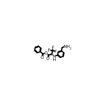 NCc1cccc(N[C@H](C(=O)OC(=O)c2ccccc2)C(F)(F)F)c1